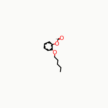 CCCCCOc1ccccc1O[C]=O